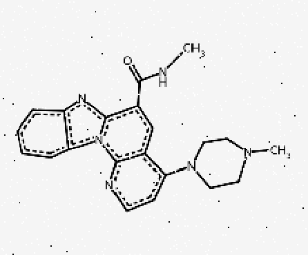 CNC(=O)c1cc2c(N3CCN(C)CC3)ccnc2n2c1nc1ccccc12